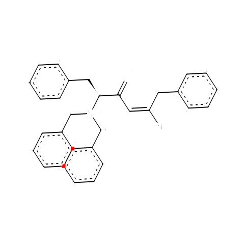 N/C(=C/C(=O)[C@H](Cc1ccccc1)N(Cc1ccccc1)Cc1ccccc1)Cc1ccccc1